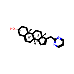 C[C@]12CC[C@@H](O)CC1=CC[C@@H]1[C@@H]2CC[C@]2(C)C(Cc3ncccn3)=CC[C@@H]12